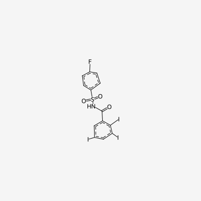 O=C(NS(=O)(=O)c1ccc(F)cc1)c1cc(I)cc(I)c1I